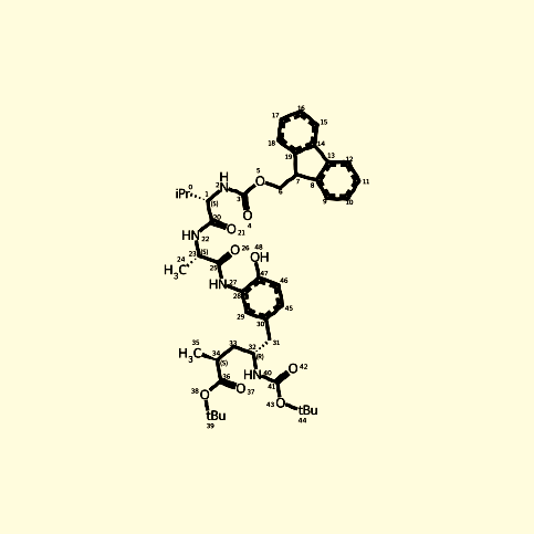 CC(C)[C@H](NC(=O)OCC1c2ccccc2-c2ccccc21)C(=O)N[C@@H](C)C(=O)Nc1cc(C[C@@H](C[C@H](C)C(=O)OC(C)(C)C)NC(=O)OC(C)(C)C)ccc1O